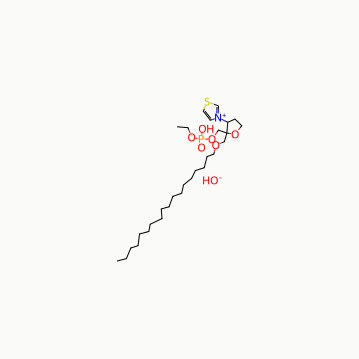 CCCCCCCCCCCCCCCCCCOCC1(COP(=O)(O)OCC)OCCC1[n+]1ccsc1.[OH-]